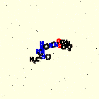 Cc1cn(C2CCCCC2)c2nc(Nc3ccc(N4CCN(C(=O)OC(C)(C)C)CC4)cc3)ncc12